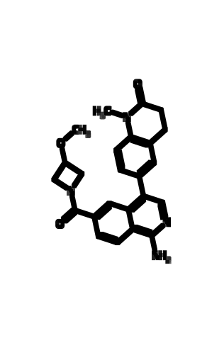 COC1CN(C(=O)c2ccc3c(N)ncc(-c4ccc5c(c4)CCC(=O)N5C)c3c2)C1